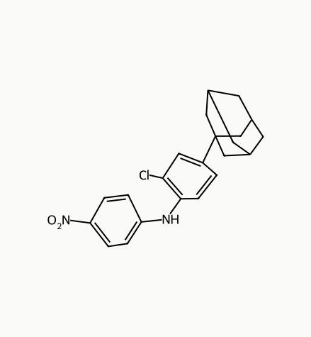 O=[N+]([O-])c1ccc(Nc2ccc(C34CC5CC(CC(C5)C3)C4)cc2Cl)cc1